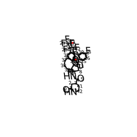 O=C1CC(C(=O)N[C@@H]2CC[C@@]3(S(=O)(=O)c4ccc(F)cc4)c4ccc(C(F)(C(F)(F)F)C(F)(F)F)cc4CCC[C@@H]23)CCN1